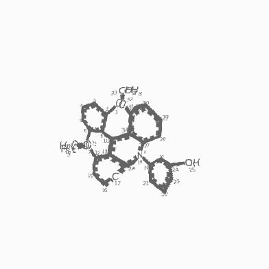 COc1cccc(OC)c1-c1c2c(OC)cccc2[n+](-c2cccc(O)c2)c2cccc(OC)c12